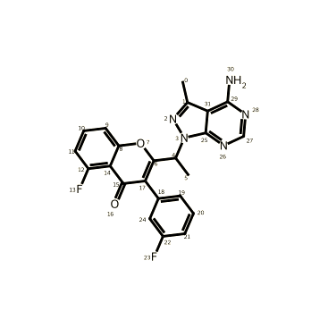 Cc1nn(C(C)c2oc3cccc(F)c3c(=O)c2-c2cccc(F)c2)c2ncnc(N)c12